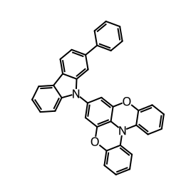 c1ccc(-c2ccc3c4ccccc4n(-c4cc5c6c(c4)Oc4ccccc4N6c4ccccc4O5)c3c2)cc1